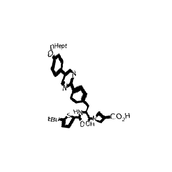 CCCCCCCOc1ccc(-c2cnc(-c3ccc(C[C@H](NC(=O)c4ccc(C(C)(C)C)s4)C(O)N4CC(C(=O)O)C4)cc3)nc2)cc1